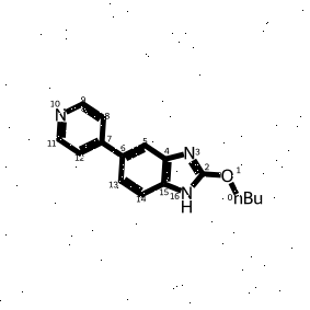 CCCCOc1nc2cc(-c3ccncc3)ccc2[nH]1